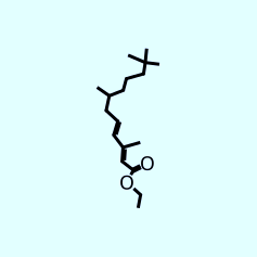 CCOC(=O)/C=C(C)/C=C/CC(C)CCCC(C)(C)C